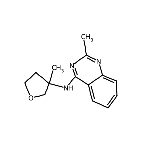 Cc1nc(NC2(C)CCOC2)c2ccccc2n1